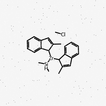 CC1=Cc2ccccc2[CH]1[Zr]([CH]1C(C)=Cc2ccccc21)[SiH](C)C.CCl